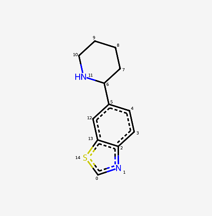 c1nc2ccc(C3CCCCN3)cc2s1